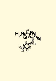 C=C(C(N)=O)C1=NN=C(C#N)C(C2C[C@@H]2c2ccc(CC)cc2)C1